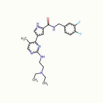 CCN(CC)CCNc1ncc(C)c(-c2c[nH]c(C(=O)NCc3ccc(F)c(F)c3)c2)n1